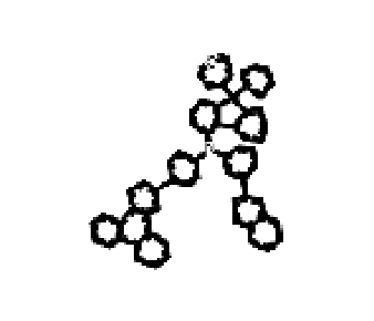 c1ccc(C2(c3ccccc3)c3ccccc3-c3c(N(c4ccc(-c5ccc6c7ccccc7c7ccccc7c6c5)cc4)c4cccc(-c5ccc6ccccc6c5)c4)cccc32)cc1